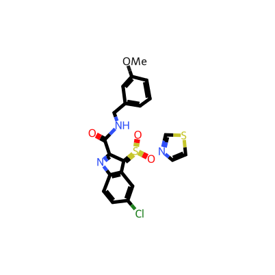 COc1cccc(CNC(=O)C2=Nc3ccc(Cl)cc3C2=S(=O)=O)c1.c1cscn1